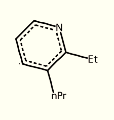 CCCc1[c]ccnc1CC